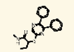 CCC(Sc1cnc(-c2ccccc2)c(-c2ccccc2)n1)C(=O)NC